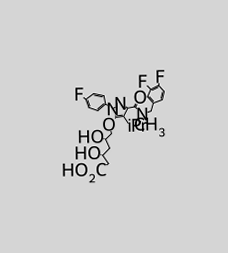 CC(C)c1c(C(=O)N(C)Cc2ccc(F)c(F)c2)nn(-c2ccc(F)cc2)c1OC[C@@H](O)C[C@@H](O)CC(=O)O